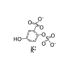 O=S(=O)([O-])Oc1ccc(O)cc1S(=O)(=O)[O-].[K+].[K+]